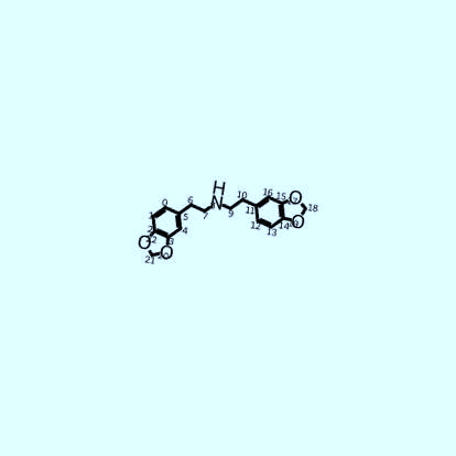 c1cc2c(cc1CCNCCc1ccc3c(c1)OCO3)OCO2